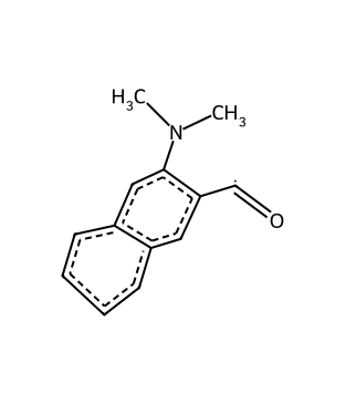 CN(C)c1cc2ccccc2cc1[C]=O